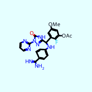 COc1cc(OC(C)=O)c(F)c(C(Nc2ccc(C(=N)N)cc2)c2nn(-c3ncccn3)c(=O)[nH]2)c1